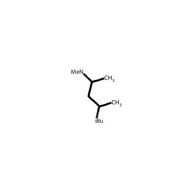 CCC(C)C(C)CC(C)NC